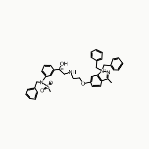 CC1=N[N+](Cc2ccccc2)(Cc2ccccc2)c2cc(OCCNC[C@H](O)c3cccc(N(Cc4ccccc4)S(C)(=O)=O)c3)ccc21